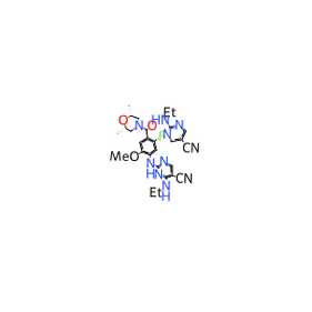 CCNc1nc(Nc2cc(F)c(C(=O)N3C[C@@H](C)O[C@@H](C)C3)cc2OC)ncc1C#N.CCNc1ncc(C#N)cn1